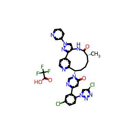 C[C@@H]1CCC[C@H](n2cnc(-c3cc(Cl)ccc3-n3cc(Cl)nn3)cc2=O)c2cc(ccn2)-c2nn(-c3cccnc3)cc2NC1=O.O=C(O)C(F)(F)F